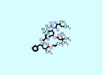 C=CCOC(=O)C(C)CC(Cc1ccccc1)NC(=O)c1csc(C(CC(C(C)C)N(C)C(=O)C(N)C(C)CC)OC(=O)CC(C)(C)C)n1